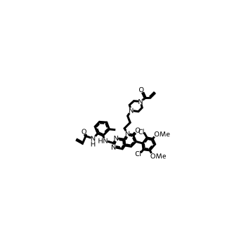 C=CC(=O)Nc1cccc(C)c1Nc1ncc2cc(-c3c(Cl)c(OC)cc(OC)c3Cl)c(=O)n(CCCN3CCN(C(=O)C=C)CC3)c2n1